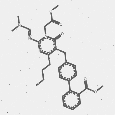 CCCCc1nc(N=CN(C)C)n(CC(=O)OC)c(=O)c1Cc1ccc(-c2ccccc2C(=O)OC)cc1